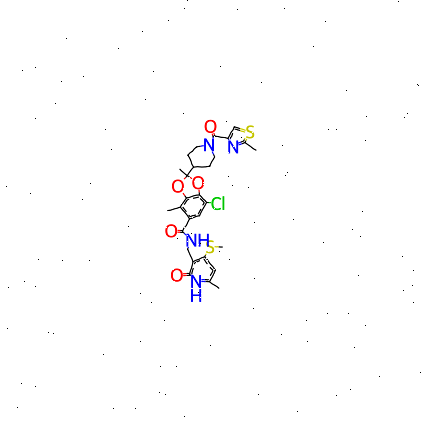 CSc1cc(C)[nH]c(=O)c1CNC(=O)c1cc(Cl)c2c(c1C)OC(C)(C1CCN(C(=O)c3csc(C)n3)CC1)O2